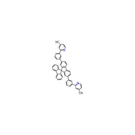 N#Cc1ccnc(-c2cccc(-c3ccc4c(c3)C3(c5ccccc5-c5ccccc53)c3cc(-c5cccc(-c6cc(C#N)ccn6)c5)ccc3-4)c2)c1